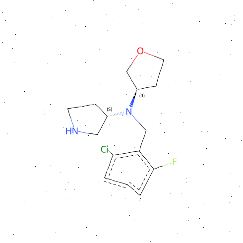 Fc1cccc(Cl)c1CN([C@@H]1CCOC1)[C@H]1CCNC1